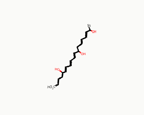 CCC(O)C=CC=CCC(O)C=CC=CC=CC(O)CCCC(=O)O